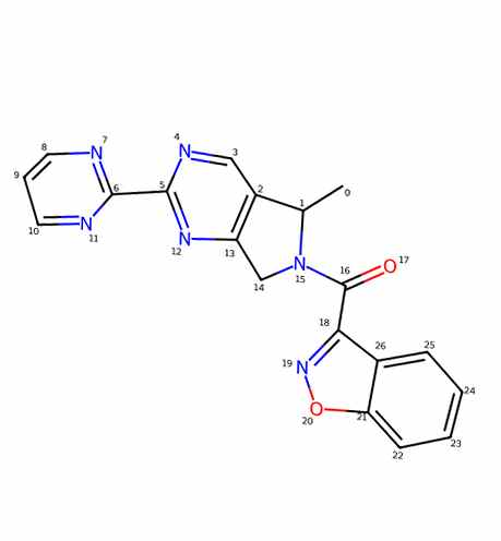 CC1c2cnc(-c3ncccn3)nc2CN1C(=O)c1noc2ccccc12